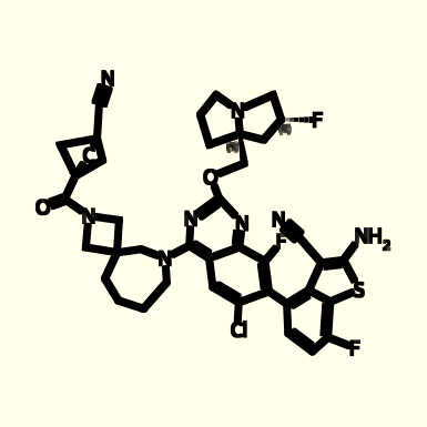 N#Cc1c(N)sc2c(F)ccc(-c3c(Cl)cc4c(N5CCCCC6(CN(C(=O)C78CC(C#N)(C7)C8)C6)C5)nc(OC[C@@]56CCCN5C[C@H](F)C6)nc4c3F)c12